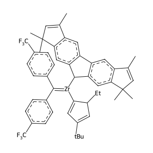 CCC1C=C(C(C)(C)C)C=[C]1[Zr](=[C](c1ccc(C(F)(F)F)cc1)c1ccc(C(F)(F)F)cc1)[CH]1c2cc3c(cc2-c2cc4c(cc21)C(C)(C)C=C4C)C(C)=CC3(C)C